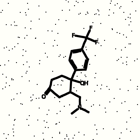 CN(C)CC1CC(=O)CCC1(O)c1ccc(C(F)(F)F)cc1